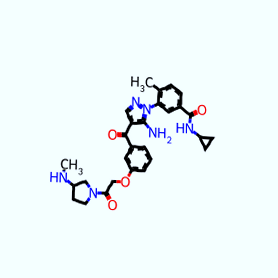 CNC1CCN(C(=O)COc2cccc(C(=O)c3cnn(-c4cc(C(=O)NC5CC5)ccc4C)c3N)c2)C1